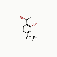 CCOC(=O)c1ccc(C(C)Br)c(Br)c1